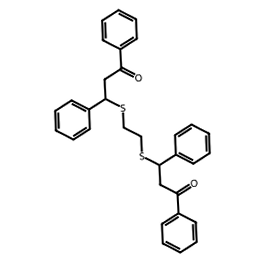 O=C(CC(SCCSC(CC(=O)c1ccccc1)c1ccccc1)c1ccccc1)c1ccccc1